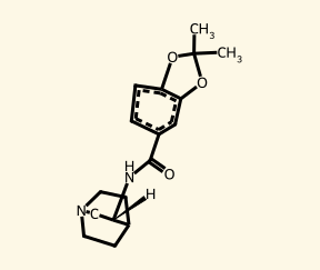 CC1(C)Oc2ccc(C(=O)N[C@H]3CN4CCC3CC4)cc2O1